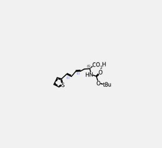 CC(C)(C)OC(=O)N[C@@H](C/C=C/C=C/c1cccs1)C(=O)O